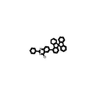 Clc1nc(-c2ccccc2)nc2ccc(-c3cccc4c3C3=C(C=CCC3)C43c4ccccc4-c4ccccc43)cc12